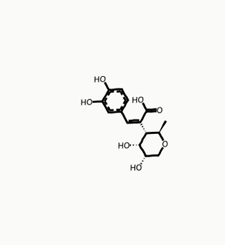 C[C@H]1OC[C@H](O)[C@H](O)[C@@H]1/C(=C/c1ccc(O)c(O)c1)C(=O)O